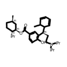 CC1C=CC=CC1[C@@H](CCN(C(C)C)C(C)C)c1cc(C(=O)O[C@@H]2C[C@H](C)CC[C@H]2C(C)C)ccc1O